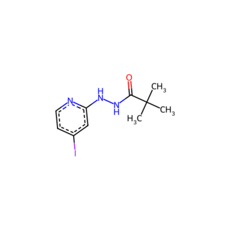 CC(C)(C)C(=O)NNc1cc(I)ccn1